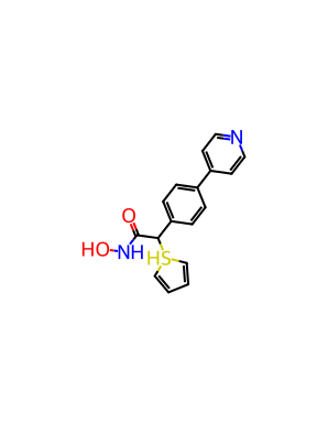 O=C(NO)C(c1ccc(-c2ccncc2)cc1)[SH]1C=CC=C1